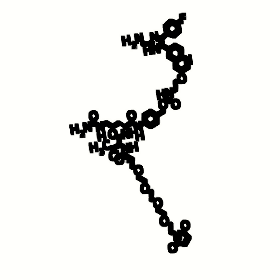 CC(C)C(NC(=O)CCOCCOCCOCCOCCN1C(=O)C=CC1=O)C(=O)N[C@@H](CCCNC(N)=O)C(=O)Nc1ccc(COC(=O)NCCOc2cnc3ccc(-c4[nH]c(CN)nc4-c4ccc(F)cc4)cc3c2)cc1